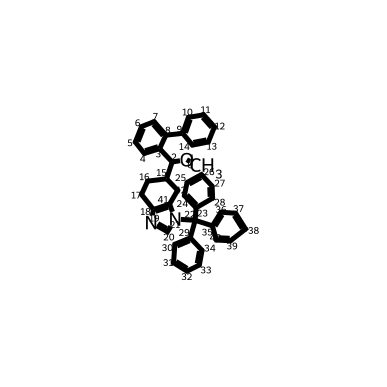 COC(c1ccccc1-c1ccccc1)C1CCc2ncn(C(c3ccccc3)(c3ccccc3)c3ccccc3)c2C1